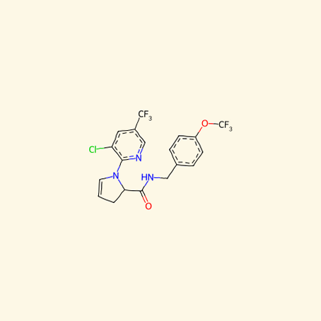 O=C(NCc1ccc(OC(F)(F)F)cc1)C1CC=CN1c1ncc(C(F)(F)F)cc1Cl